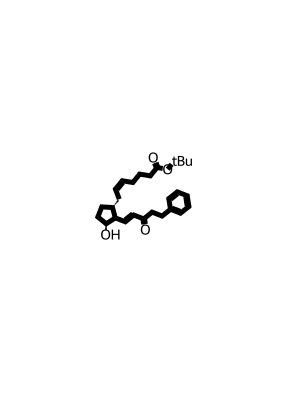 CC(C)(C)OC(=O)CCC/C=C\C[C@H]1CC[C@@H](O)C1/C=C/C(=O)CCc1ccccc1